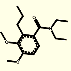 CCCc1c(C(=O)N(CC)CC)ccc(OC)c1OC